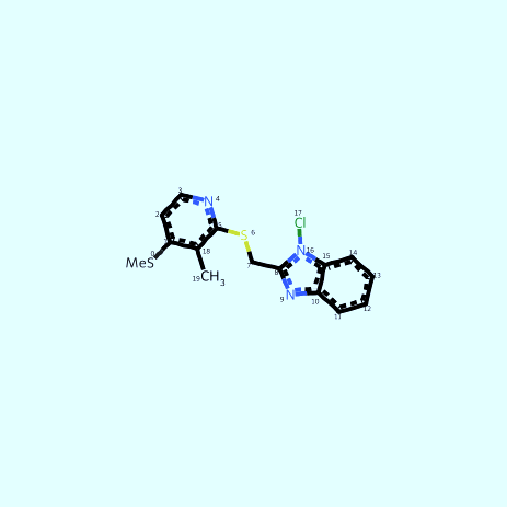 CSc1ccnc(SCc2nc3ccccc3n2Cl)c1C